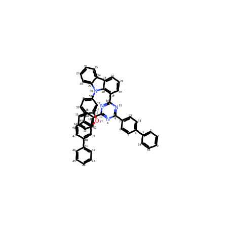 c1ccc(-c2ccc(-c3nc(-c4ccccc4)nc(-c4cccc5c6ccccc6n(-c6ccc7c(c6)oc6cc(-c8ccccc8)ccc67)c45)n3)cc2)cc1